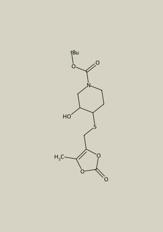 Cc1oc(=O)oc1CSC1CCN(C(=O)OC(C)(C)C)CC1O